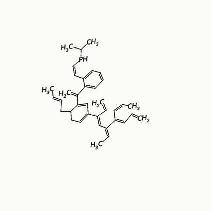 C=C/C=C(\C=C/C)C(/C=C(\C=C)C1=CCC(CC=CC)C(C(=C)c2ccccc2/C=C\PC(C)C)=C1)=C/C